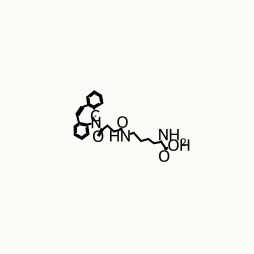 N[C@H](CCCCNC(=O)CCC(=O)N1Cc2ccccc2C#Cc2ccccc21)C(=O)O